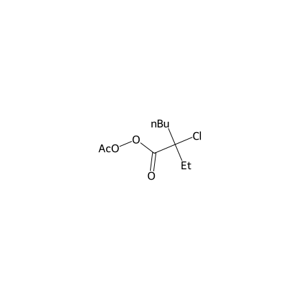 CCCCC(Cl)(CC)C(=O)OOC(C)=O